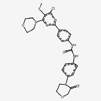 CSc1c(Cl)nc(-c2ccc(NC(=O)Nc3ccc(N4CCOCC4=O)cc3)cc2)nc1N1CCOCC1